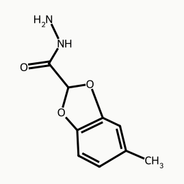 Cc1ccc2c(c1)OC(C(=O)NN)O2